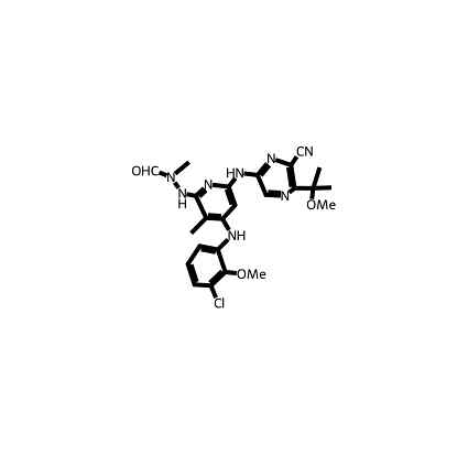 COc1c(Cl)cccc1Nc1cc(Nc2cnc(C(C)(C)OC)c(C#N)n2)nc(NN(C)C=O)c1C